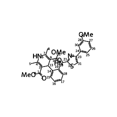 COC(=O)C1=C(C)NC(C)=C(C(=O)OC)C1c1ccccc1Nc1nc(-c2cccc(OC)c2)cs1